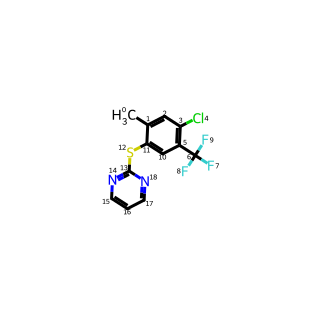 Cc1cc(Cl)c(C(F)(F)F)cc1Sc1ncccn1